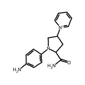 NC(=O)C1CC([n+]2ccccc2)CN1c1ccc(N)cc1